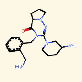 NCc1ccccc1CN1C(=O)C2CCCN2N=C1N1CCCC(N)C1